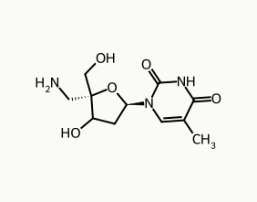 Cc1cn([C@H]2CC(O)[C@@](CN)(CO)O2)c(=O)[nH]c1=O